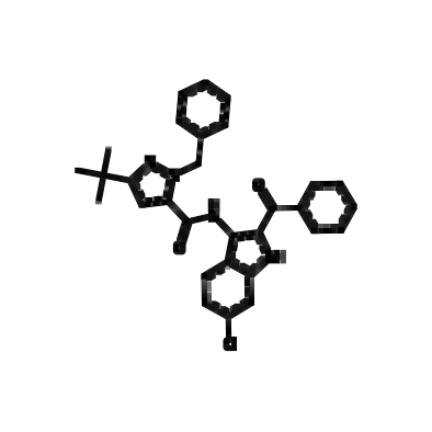 CC(C)(C)c1cc(C(=O)Nc2c(C(=O)c3ccccc3)[nH]c3cc(Cl)ccc23)n(Cc2ccccc2)n1